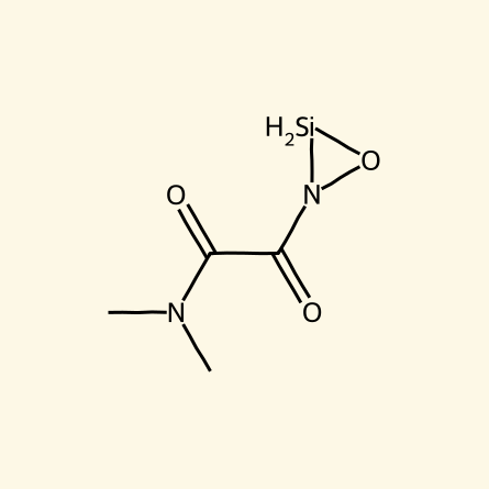 CN(C)C(=O)C(=O)N1O[SiH2]1